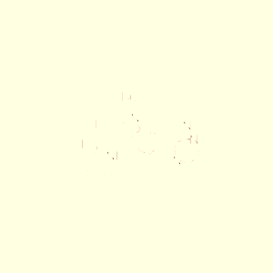 CC(C)(C)Cn1cc(C(NS(=O)(=O)C2CC2)C(F)F)c2ccc(-c3nccnc3C#N)cc21